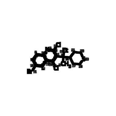 CCC(C)(c1c(Cl)nc2ccc(Br)cc2c1Cl)C1CCSCC1